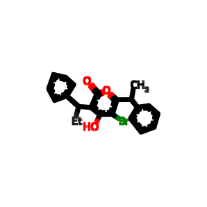 CCC(c1ccccc1)c1c(O)c(Br)c(C(C)c2ccccc2)oc1=O